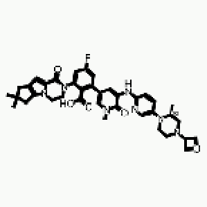 C[C@H]1CN(C2COC2)CCN1c1ccc(Nc2cc(-c3cc(F)cc(N4CCn5c(cc6c5CC(C)(C)C6)C4=O)c3C(=O)O)cn(C)c2=O)nc1